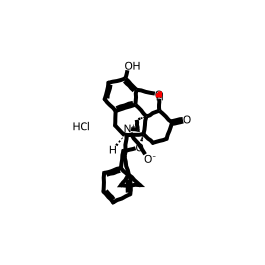 Cl.O=C1CC[C@@]2(OCc3ccccc3)[C@H]3Cc4ccc(O)c5c4[C@@]2(CC[N+]3([O-])CC2CC2)[C@H]1O5